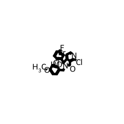 COc1ccc(CN2C(=O)c3c(Cl)ncc(Br)c3C2(O)c2cc(F)ccc2Cl)cc1